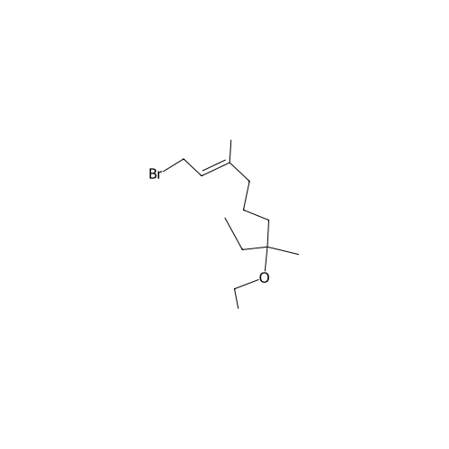 CCOC(C)(CC)CCCC(C)=CCBr